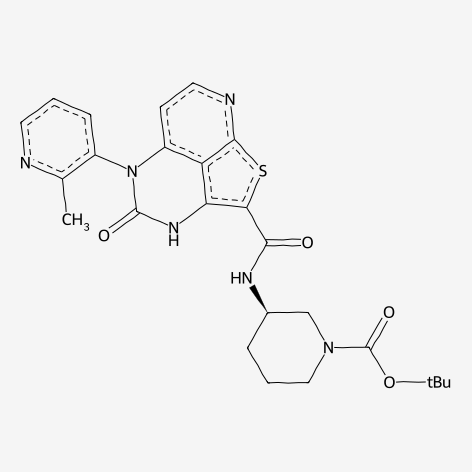 Cc1ncccc1N1C(=O)Nc2c(C(=O)N[C@@H]3CCCN(C(=O)OC(C)(C)C)C3)sc3nccc1c23